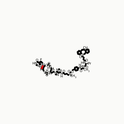 C/C1=C/c2ccccc2N(C(=O)CCC(=O)N[C@H](C(=O)N[C@@H](C)C(=O)Nc2ccc(COC(=O)N(C)CCCC(=O)Nc3ncnc4c3ncn4[C@H]3C[C@@H]4O[PH](=O)OC[C@H]5O[C@@H](n6cc(F)c7c(=O)[nH]cnc76)[C@H](O[PH](=O)OC[C@H]4O3)[C@@H]5O)cc2)C(C)C)Cc2ccccc21